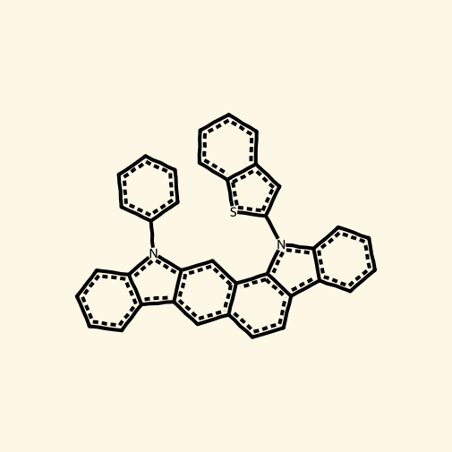 c1ccc(-n2c3ccccc3c3cc4ccc5c6ccccc6n(-c6cc7ccccc7s6)c5c4cc32)cc1